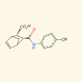 N#Cc1ccc(NC(=O)[C@H]2C3C=CC(C3)[C@H]2C(=O)O)cc1